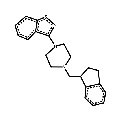 c1ccc2c(c1)CCC2CN1CCN(c2nsc3ccccc23)CC1